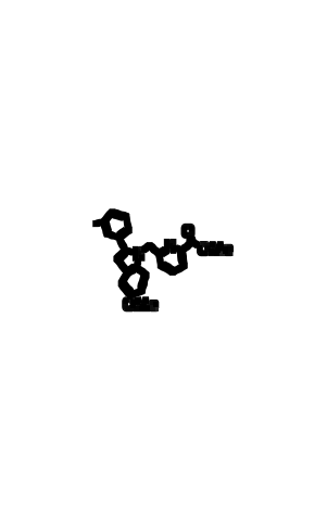 COC(=O)c1cccc(Cn2c(-c3cccc(C)c3)cc3cc(OC)ccc32)n1